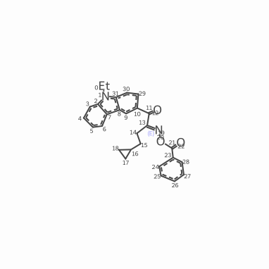 CCn1c2ccccc2c2cc(C(=O)/C(CCC3CC3)=N/OC(=O)c3ccccc3)ccc21